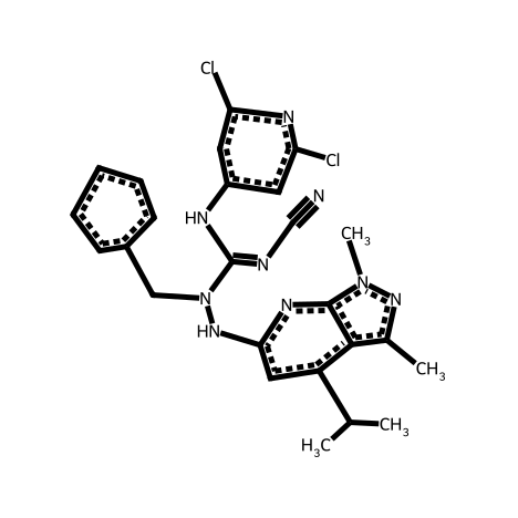 Cc1nn(C)c2nc(NN(Cc3ccccc3)C(=NC#N)Nc3cc(Cl)nc(Cl)c3)cc(C(C)C)c12